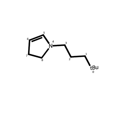 CC(C)(C)CCCN1C=CCC1